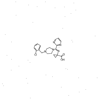 O=C(O)C1(N=C(c2ncccn2)N2CCN(Cc3ccccc3Cl)CC2)CC1